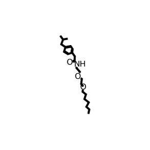 CCCCCCCOCCOCCNC(=O)Cc1ccc(CC(C)C)cc1